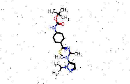 CS/C(=N\C(C)Nc1ccnn1C(C)C)C1CCC(NC(=O)OC(C)(C)C)CC1